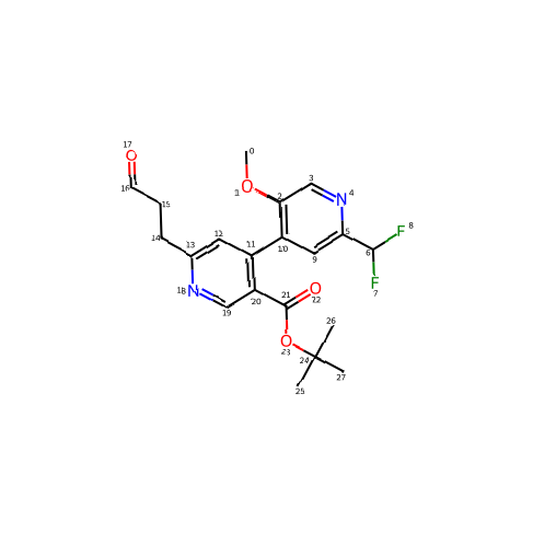 COc1cnc(C(F)F)cc1-c1cc(CCC=O)ncc1C(=O)OC(C)(C)C